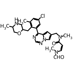 Cc1cc(Cl)cc(-c2ncnn3cc(CN(C)C(=O)/C=C\N(C)C=O)cc23)c1CC1CNC(C)CO1